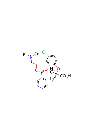 CC(C)(Oc1ccc(Cl)cc1)C(=O)O.CCN(CC)CCOC(=O)c1cccnc1